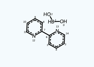 OBO.c1ccc(-c2ccccn2)nc1